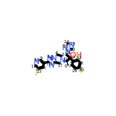 C[C@@H](N1CCn2nc(-c3cncc(F)c3)nc2C1)[C@](O)(Cn1cncn1)c1ccc(F)cc1F